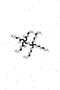 C=COCOCC(COCOC=C)(COCOC=C)COCC(CC(=O)OC=C)(CC(=O)OC=C)CC(=O)OC=C